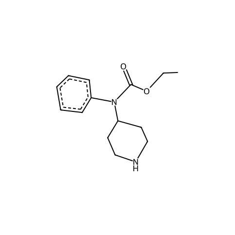 CCOC(=O)N(c1ccccc1)C1CCNCC1